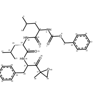 CC(C)CC(NC(=O)OCc1ccccc1)C(=O)N[C@@H](CC(C)C)C(=O)NC(Cc1ccccc1)C(=O)C1(C)CO1